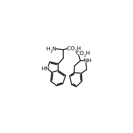 NC(Cc1c[nH]c2ccccc12)C(=O)O.O=C(O)C1Cc2ccccc2CN1